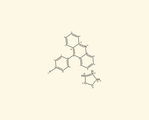 Fc1ccc(-c2c3ccccc3nc3ccccc23)cc1.O1O[SiH2][SiH]=[SiH]1